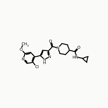 COc1cc(-c2cc(C(=O)N3CCC(C(=O)NC4CC4)CC3)n[nH]2)c(Cl)cn1